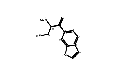 C=C(c1ccc2ccoc2c1)C(CF)NC